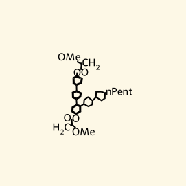 C=C(COC)C(=O)Oc1ccc(-c2ccc(-c3ccc(OC(=O)C(=C)COC)cc3C3CCC(C4CCC(CCCCC)CC4)CC3)cc2)cc1